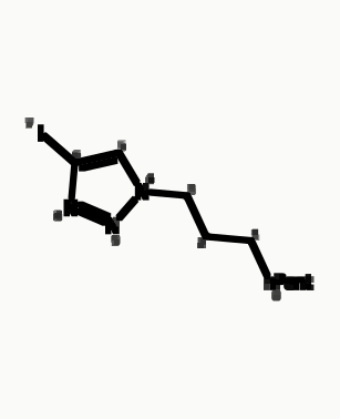 CCCCCCCCn1cc(I)nn1